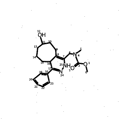 COC(=O)N(C)CC1=C2CCC(O)CCCC2C(c2ccccc2)=NN1